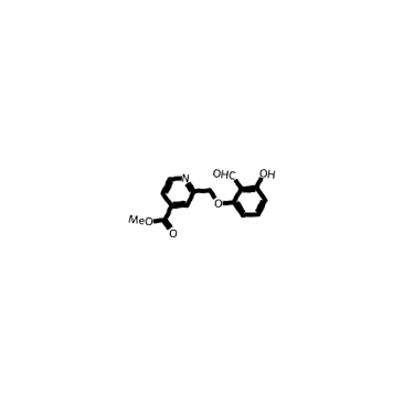 COC(=O)c1ccnc(COc2cccc(O)c2C=O)c1